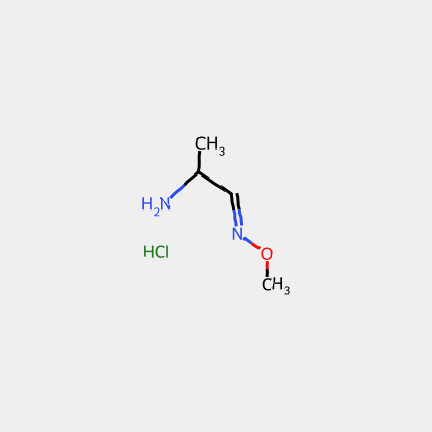 CO/N=C/C(C)N.Cl